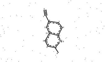 C#Cc1ccc2nc(C)ccc2c1